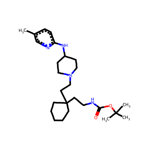 Cc1ccc(NC2CCN(CCC3(CCNC(=O)OC(C)(C)C)CCCCC3)CC2)nc1